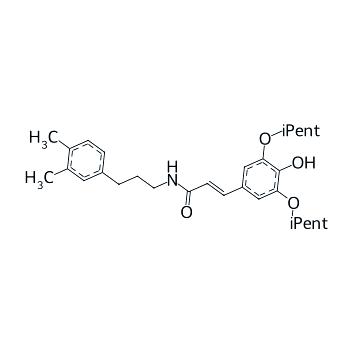 CCCC(C)Oc1cc(C=CC(=O)NCCCc2ccc(C)c(C)c2)cc(OC(C)CCC)c1O